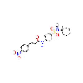 CN(C1CCCCC1)S(=O)(=O)c1ccc(NC(=O)/C=C/c2ccc([N+](=O)[O-])cc2)cc1